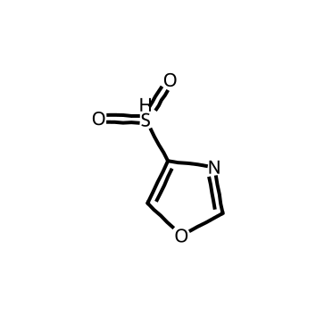 O=[SH](=O)c1cocn1